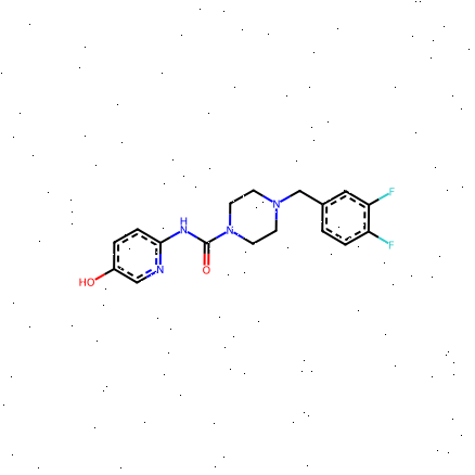 O=C(Nc1ccc(O)cn1)N1CCN(Cc2ccc(F)c(F)c2)CC1